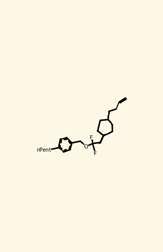 C=CCCC1CCC(CC(F)(F)OCc2ccc(CCCCC)cc2)CC1